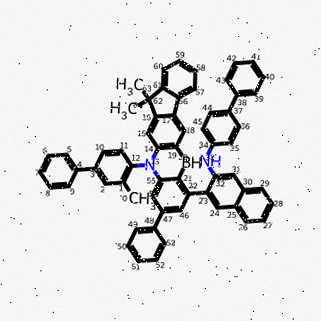 Cc1cc(-c2ccccc2)ccc1N1c2cc3c(cc2Bc2c(-c4cc5ccccc5cc4Nc4ccc(-c5ccccc5)cc4)cc(-c4ccccc4)cc21)-c1ccccc1C3(C)C